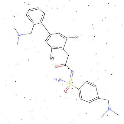 CC(C)c1cc(-c2ccccc2CN(C)C)cc(C(C)C)c1CC(=O)N=S(N)(=O)c1ccc(CN(C)C)cc1